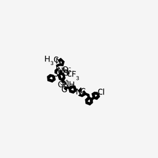 CN1CCCC1C[C@H](CSc1ccccc1)Nc1ccc([S+]([O-])NC(=O)c2ccc(N3CCC(Cc4ccccc4-c4ccc(Cl)cc4)CC3)cc2)cc1[S+]([O-])C(F)(F)F